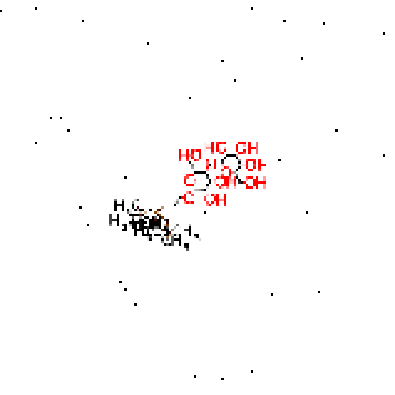 CS(C)(C)CS(C)(CCCO[C@@H]1O[C@H](CO)[C@@H](O[C@H]2O[C@H](CO)[C@@H](O)[C@H](O)[C@H]2O)[C@H](O)[C@H]1O)CS(C)(C)C